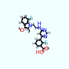 COc1c(C)n(CCNc2cc(-c3cccc(C(=O)O)c3F)ncn2)c2c(F)cccc12